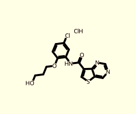 Cl.O=C(Nc1cc(Cl)ccc1OCCCO)c1csc2cncnc12